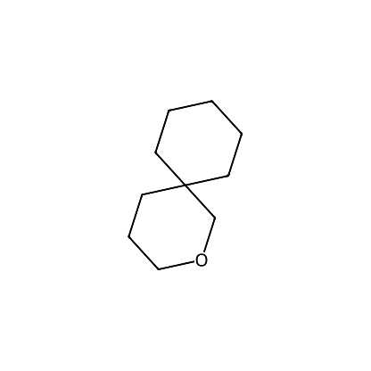 C1CCC2(CC1)CCCOC2